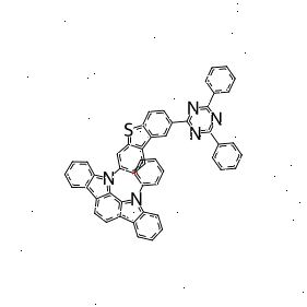 c1ccc(-c2nc(-c3ccccc3)nc(-c3ccc4sc5cc(-n6c7ccccc7c7ccc8c9ccccc9n(-c9ccccc9)c8c76)ccc5c4c3)n2)cc1